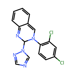 Clc1ccc(N2C=c3ccccc3=NC2n2cncn2)c(Cl)c1